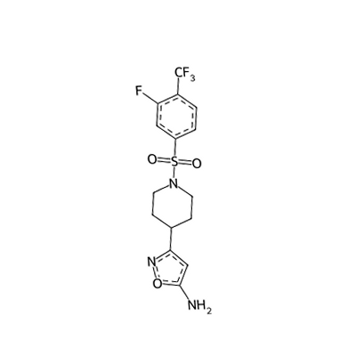 Nc1cc(C2CCN(S(=O)(=O)c3ccc(C(F)(F)F)c(F)c3)CC2)no1